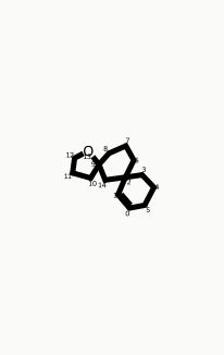 C1=CC2(CCC1)CCCC1(CCCO1)C2